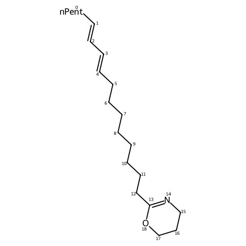 CCCCCC=CC=CCCCCCCCCC1=NCCCO1